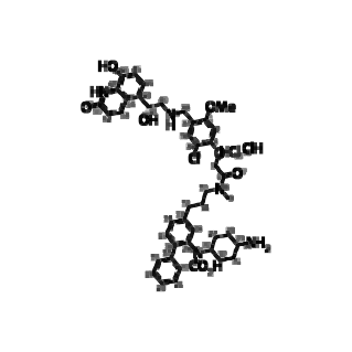 COc1cc(OCC(=O)N(C)CCCc2ccc(-c3ccccc3)c(N(C(=O)O)C3CCC(N)CC3)c2)c(Cl)cc1CNC[C@H](O)c1ccc(O)c2[nH]c(=O)ccc12.Cl.Cl